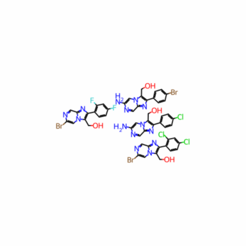 Nc1cn2c(CO)c(-c3ccc(Br)cc3)nc2cn1.Nc1cn2c(CO)c(-c3ccc(Cl)cc3)nc2cn1.OCc1c(-c2ccc(Cl)cc2Cl)nc2cnc(Br)cn12.OCc1c(-c2ccc(F)cc2F)nc2cnc(Br)cn12